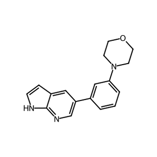 c1cc(-c2cnc3[nH]ccc3c2)cc(N2CCOCC2)c1